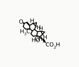 C[C@]12CCC(=O)C=C1[C@@H]1C[C@@H]1C1C2CC[C@@]2(C)C1[C@@H]1C[C@@H]1[C@@]2(O)C#CC(=O)O